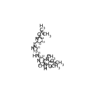 Cc1nc(NCc2cnn(Cc3cccc(OC(C)C)n3)c2)cc2c1NC(=O)C(OC(C)C)N2C